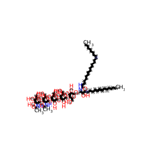 CCCCCCCC/C=C\CCCCCCCCCCCCCC(=O)N[C@@H](CO[C@@H]1OC(CO)[C@@H](O[C@@H]2OC(CO)[C@H](O)[C@H](O[C@H]3OC(CO)[C@H](O)[C@H](O[C@@H]4OC(CO)[C@H](O)[C@H](O[C@H]5OC(CO)[C@H](O)[C@H](O)C5NC(C)=O)C4NC(C)=O)C3O)C2O)[C@H](O)C1O)[C@H](O)/C=C/CCCCCCCCCCCCC